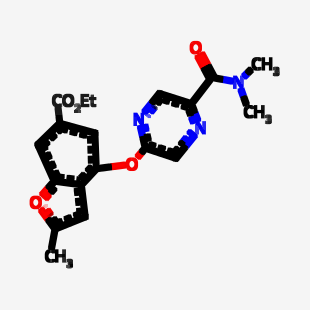 CCOC(=O)c1cc(Oc2cnc(C(=O)N(C)C)cn2)c2cc(C)oc2c1